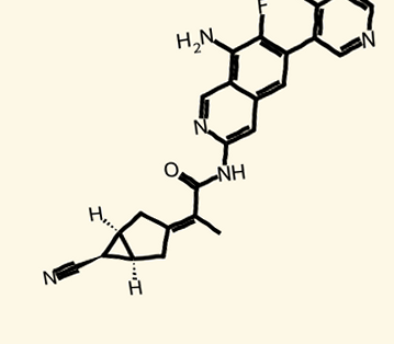 C/C(C(=O)Nc1cc2cc(-c3cnccc3C)c(F)c(N)c2cn1)=C1/C[C@@H]2[C@H](C#N)[C@@H]2C1